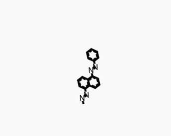 CN=Nc1cccc2c(N=Nc3ccccc3)cccc12